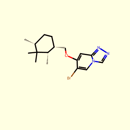 C[C@@H]1CC[C@H](COc2cc3nncn3cc2Br)[C@H](C)C1(C)C